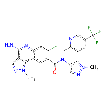 Cn1cc(N(Cc2ccc(C(F)(F)F)cn2)C(=O)c2cc3c(cc2F)nc(N)c2cnn(C)c23)cn1